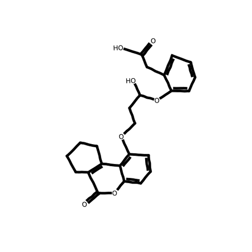 O=C(O)Cc1ccccc1OC(O)CCOc1cccc2oc(=O)c3c(c12)CCCC3